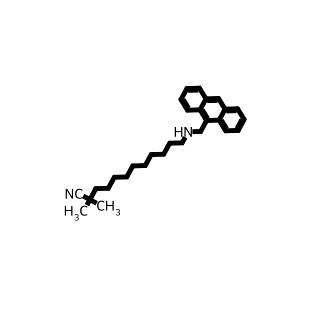 CC(C)(C#N)CCCCCCCCCCNCc1c2ccccc2cc2ccccc12